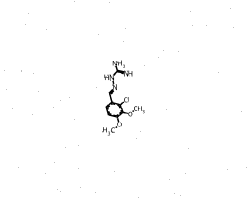 COc1ccc(C=NNC(=N)N)c(Cl)c1OC